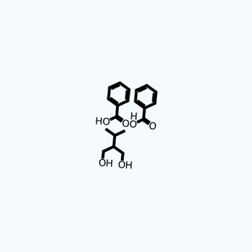 CC(C)C(CO)CO.O=C(O)c1ccccc1.O=C(O)c1ccccc1